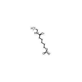 CCNC(=O)CCCCCO[N+](=O)[O-]